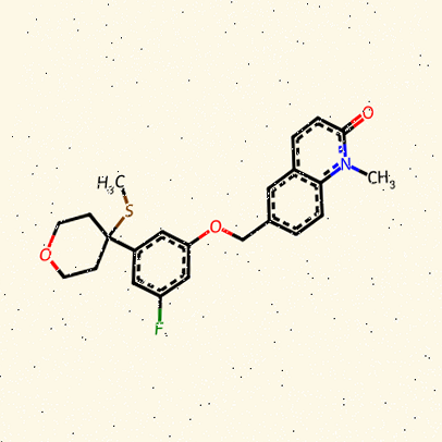 CSC1(c2cc(F)cc(OCc3ccc4c(ccc(=O)n4C)c3)c2)CCOCC1